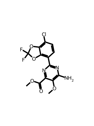 COC(=O)c1nc(-c2ccc(Cl)c3c2OC(F)(F)O3)nc(N)c1OC